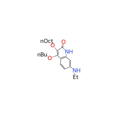 CCCCCCCCOc1c(OCCCC)c2ccc(NCC)cc2[nH]c1=O